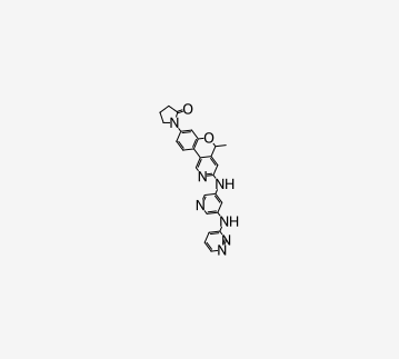 CC1Oc2cc(N3CCCC3=O)ccc2-c2cnc(Nc3cncc(Nc4cccnn4)c3)cc21